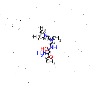 CCC(=O)C(N)CC(O)NCCN(C)CCN(CC)CC